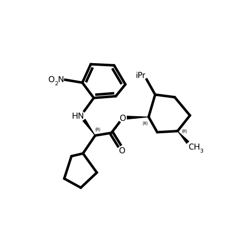 CC(C)C1CC[C@@H](C)C[C@H]1OC(=O)[C@H](Nc1ccccc1[N+](=O)[O-])C1CCCC1